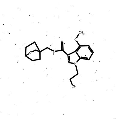 COc1cccc2c1c(C(=O)NCC13CCC(CC1)CC3)cn2CCO